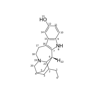 CCC1CC2C[C@H]3c4[nH]c5ccc(O)cc5c4CCN(C2)C13